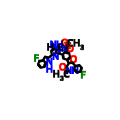 CNC(=O)c1c(-c2ccc(F)cc2)oc2cc(N(C)S(C)(=O)=O)c(-c3nc(N)cc(-c4cc5c(F)cccc5[nH]4)n3)cc12